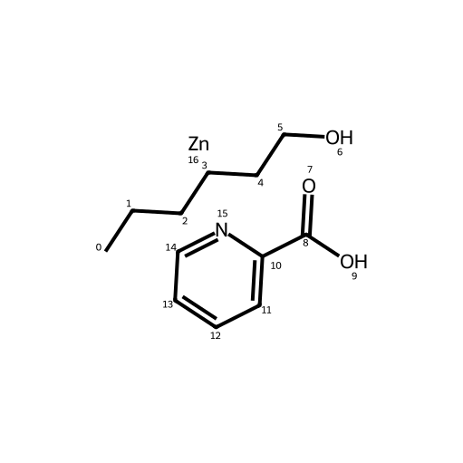 CCCCCCO.O=C(O)c1ccccn1.[Zn]